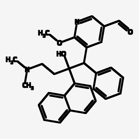 COc1ncc(C=O)cc1C(c1ccccc1)C(O)(CCN(C)C)c1cccc2ccccc12